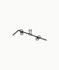 CCCCCC/C=C\COC(=O)CCCCCCNCCCCCCC(=O)OCCCCCCC